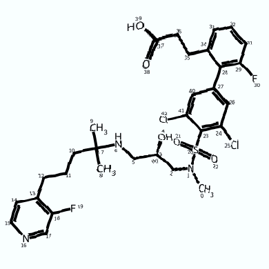 CN(C[C@H](O)CNC(C)(C)CCCc1ccncc1F)S(=O)(=O)c1c(Cl)cc(-c2c(F)cccc2CCC(=O)O)cc1Cl